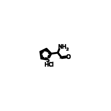 Cl.NC([C]=O)c1cccs1